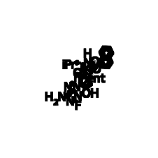 CCCCCOC(=O)[C@H](CC(C)C)NP(=O)(OC[C@@H]1C[C@H](O)[C@H](n2cnc3c(N)nc(F)nc32)O1)Oc1cccc2ccccc12